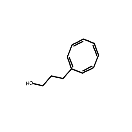 OCCCC1=CC=CC=CC=C1